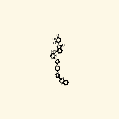 O=C1CCC(N2Cc3c(Nc4ccnc(N5CCC(N6CCC(n7cc(-c8cnc9ccccc9n8)cn7)CC6)C5)n4)cccc3C2=O)C(=O)N1